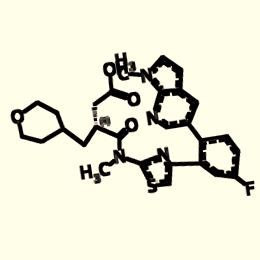 CN(C(=O)[C@@H](CC(=O)O)CC1CCOCC1)c1nc(-c2cc(F)ccc2-c2cnc3c(ccn3C)c2)cs1